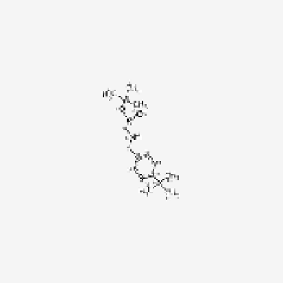 CC(C)(C)OC(=O)CNCc1ccc(C(C)(C)C)cc1